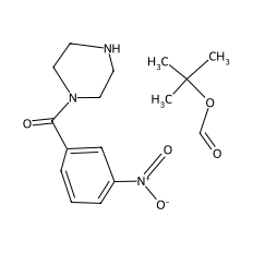 CC(C)(C)OC=O.O=C(c1cccc([N+](=O)[O-])c1)N1CCNCC1